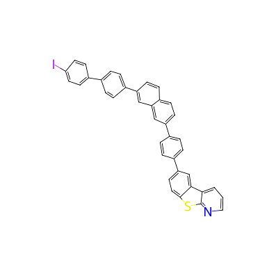 Ic1ccc(-c2ccc(-c3ccc4ccc(-c5ccc(-c6ccc7sc8ncccc8c7c6)cc5)cc4c3)cc2)cc1